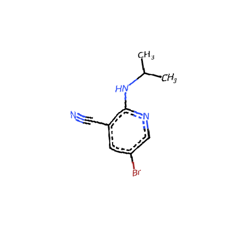 CC(C)Nc1ncc(Br)cc1C#N